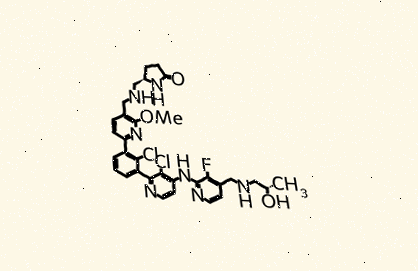 COc1nc(-c2cccc(-c3nccc(Nc4nccc(CNC[C@H](C)O)c4F)c3Cl)c2Cl)ccc1CNC[C@H]1CCC(=O)N1